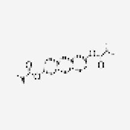 C=C(C)C(=O)Oc1ccc2cc3cc(OC(=O)C(=C)C)ccc3cc2c1